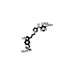 CNS(=O)(=O)Cc1ccc2[nH]cc(CCCN3CCC(Nc4ncnc(OC)c4OC)C3)c2c1